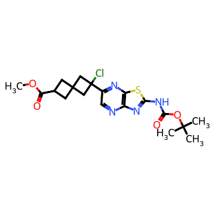 COC(=O)C1CC2(C1)CC(Cl)(c1cnc3nc(NC(=O)OC(C)(C)C)sc3n1)C2